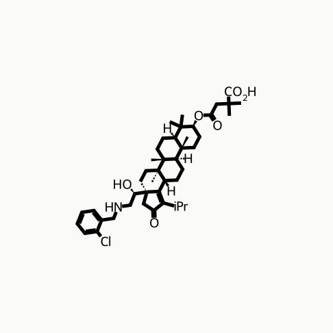 CC(C)C1=C2[C@H]3CC[C@@H]4[C@@]5(C)CC[C@H](OC(=O)CC(C)(C)C(=O)O)C(C)(C)[C@@H]5CC[C@@]4(C)[C@]3(C)CC[C@@]2([C@@H](O)CNCc2ccccc2Cl)CC1=O